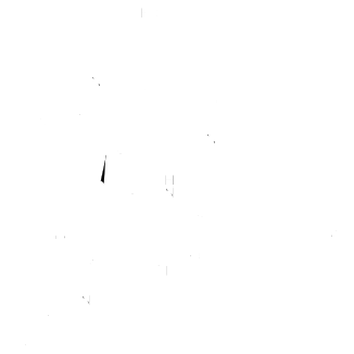 C[C@@H]1C[C@@H](C[C@H](NC(=O)c2cc(Cl)ccc2NC(=O)CCC(F)(F)F)C(O)C(=O)NC2CC2)C(=O)N1